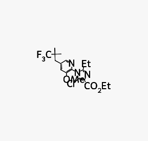 CCOC(=O)c1nc(CC)n(-c2ncc(CC(C)(C)C(F)(F)F)cc2OC)c1Cl